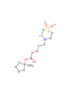 CC1(OC(=O)COCCN2CCS(=O)(=O)CC2)CCCC1